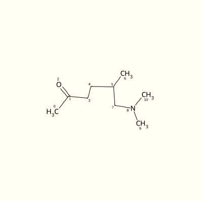 CC(=O)CCC(C)CN(C)C